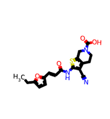 CCc1ccc(C=CC(=O)Nc2sc3c(c2C#N)CCN(C(=O)O)C3)o1